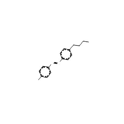 CCCCc1ccc(N=Nc2ccc(Br)cc2)cc1